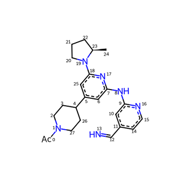 CC(=O)N1CCC(c2cc(Nc3cc(C=N)ccn3)nc(N3CCC[C@H]3C)c2)CC1